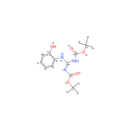 CC(C)(C)OC(=O)N=C(NC(=O)OC(C)(C)C)Nc1ccccc1O